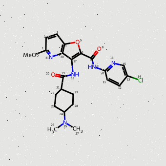 COc1ccc2oc(C(=O)Nc3ccc(Cl)cn3)c(NC(=O)C3CCC(N(C)C)CC3)c2n1